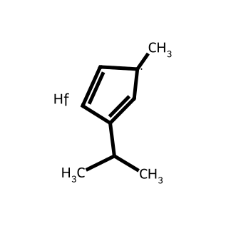 C[C]1C=CC(C(C)C)=C1.[Hf]